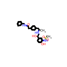 C[C@H](Cc1ccc(CC(=O)NCc2ccccc2)cc1)NC[C@H](O)c1ccc(O)c(NS(C)(=O)=O)c1